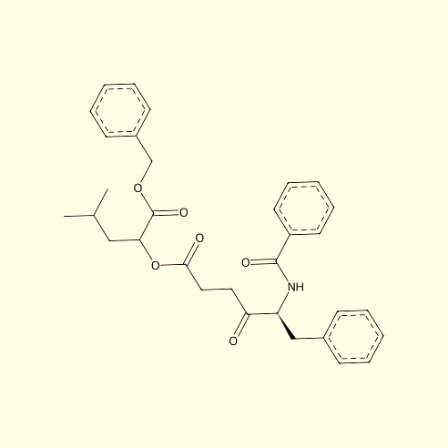 CC(C)CC(OC(=O)CCC(=O)[C@H](Cc1ccccc1)NC(=O)c1ccccc1)C(=O)OCc1ccccc1